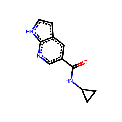 O=C(NC1CC1)c1cnc2[nH]ccc2c1